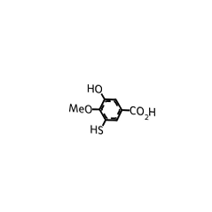 COc1c(O)cc(C(=O)O)cc1S